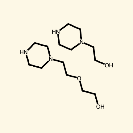 OCCN1CCNCC1.OCCOCCN1CCNCC1